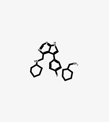 Fc1ccc(-c2c[nH]c3ncnc(CNC4CCCCC4)c23)cc1.NCC1CCCCC1